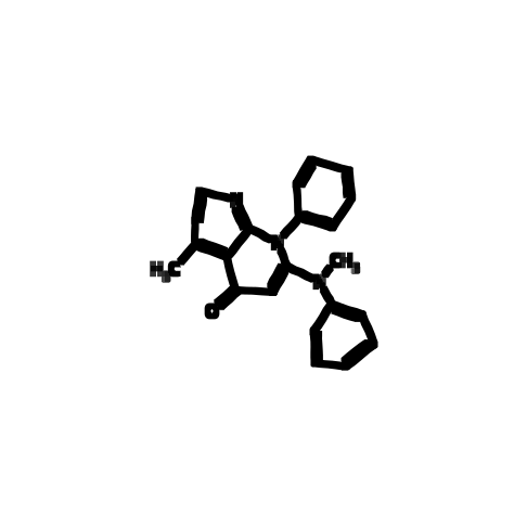 Cc1ccnc2c1c(=O)cc(N(C)c1ccccc1)n2-c1ccccc1